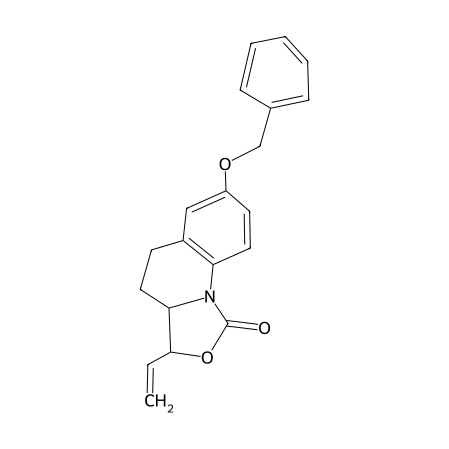 C=CC1OC(=O)N2c3ccc(OCc4ccccc4)cc3CCC12